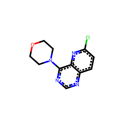 Clc1ccc2ncnc(N3CCOCC3)c2n1